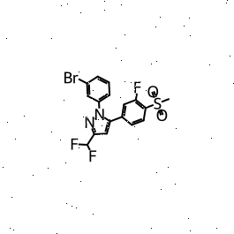 CS(=O)(=O)c1ccc(-c2cc(C(F)F)nn2-c2cccc(Br)c2)cc1F